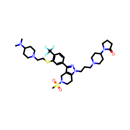 CN(C)C1CCN(CCSc2cc(-c3nn(CCCN4CCC(N5CCCC5=O)CC4)c4c3CN(S(C)(=O)=O)CC4)ccc2C(F)(F)F)CC1